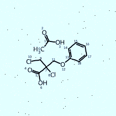 CC(=O)O.O=C(O)C(Cl)(CCl)COc1ccccc1